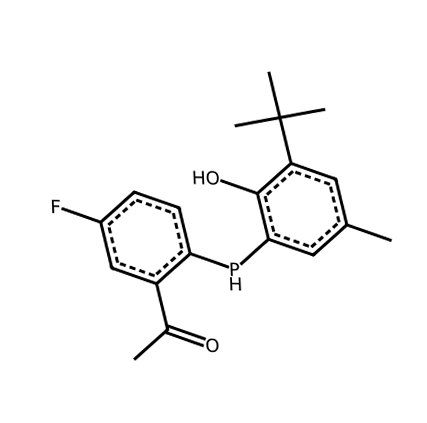 CC(=O)c1cc(F)ccc1Pc1cc(C)cc(C(C)(C)C)c1O